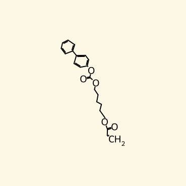 C=CC(=O)OCCCCCCOC(=O)Oc1ccc(-c2ccccc2)cc1